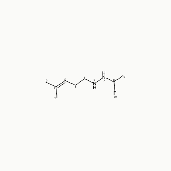 CC(C)=CCCNNC(C)F